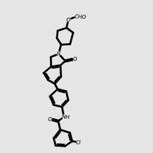 O=COC1CCC(N2Cc3ccc(-c4ccc(NC(=O)c5cccc(Cl)c5)cc4)cc3C2=O)CC1